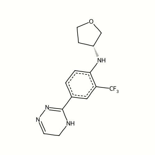 FC(F)(F)c1cc(C2=NN=CCN2)ccc1N[C@@H]1CCOC1